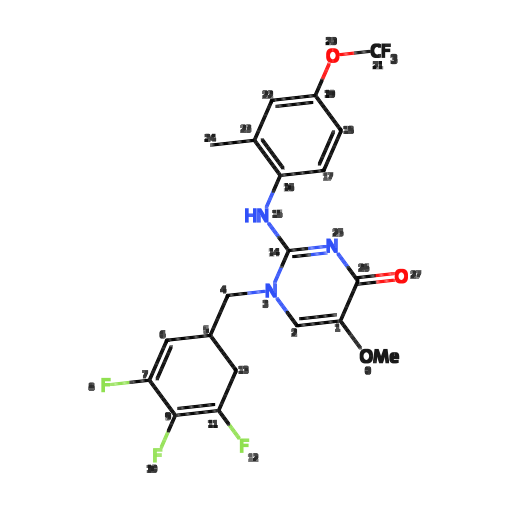 COc1cn(CC2C=C(F)C(F)=C(F)C2)c(Nc2ccc(OC(F)(F)F)cc2C)nc1=O